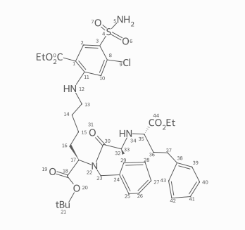 CCOC(=O)c1cc(S(N)(=O)=O)c(Cl)cc1NCCCC[C@H](C(=O)OC(C)(C)C)N(Cc1ccccc1)C(=O)[C@H](C)N[C@@H](CCc1ccccc1)C(=O)OCC